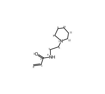 C=CC(=O)NCCN1CCCCC1